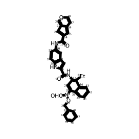 [CH2]Cc1c(NC(=O)c2cc3cc(NC(=O)c4cc5ccocc-5c4)ccc3[nH]2)cc(N(C=O)OCc2ccccc2)c2ccccc12